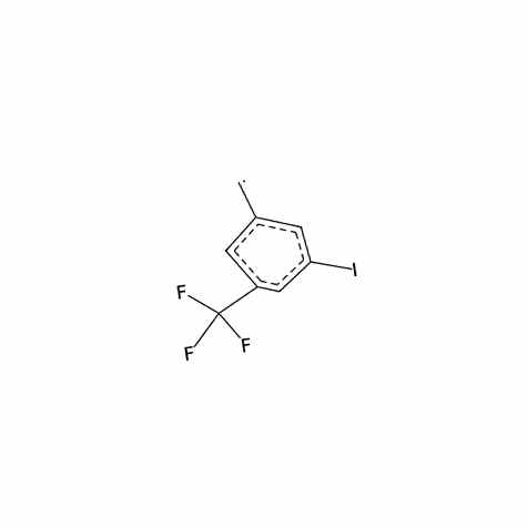 [CH2]c1cc(I)cc(C(F)(F)F)c1